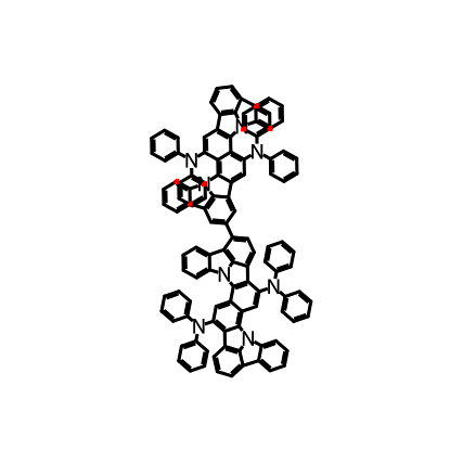 c1ccc(N(c2ccccc2)c2cc3c(cc(N(c4ccccc4)c4ccccc4)c4c5ccc(-c6cc7c8ccccc8n8c7c(c6)c6cc(N(c7ccccc7)c7ccccc7)c7c(c(N(c9ccccc9)c9ccccc9)cc9c%10cccc%11c%12ccccc%12n(c%11%10)c97)c68)c6c7ccccc7n(c34)c56)c3c2c2cccc4c5ccccc5n3c42)cc1